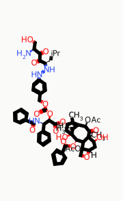 CC(=O)O[C@H]1C(=O)[C@@]2(C)C([C@H](OC(=O)c3ccccc3)[C@]3(O)C[C@H](OC(=O)[C@H](OC(=O)OCc4ccc(NN[C@@H](CC(C)C)C(=O)C(=O)[C@@H](N)CO)cc4)[C@@H](NC(=O)c4ccccc4)c4ccccc4)C(C)=C1C3(C)C)[C@]1(OC(C)=O)CO[C@@H]1C[C@@H]2O